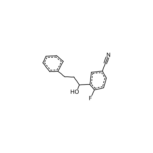 N#Cc1ccc(F)c(C(O)CCc2ccccc2)c1